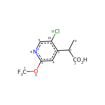 CC(C(=O)O)c1cc(OC(F)(F)F)ncc1Cl